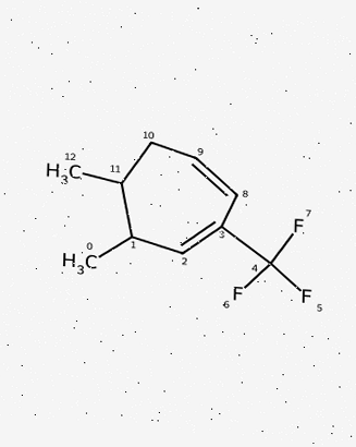 CC1C=C(C(F)(F)F)C=CCC1C